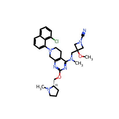 COC1(CN(C)c2nc(OC[C@@H]3CCCN3C)nc3c2CCN(c2cccc4cccc(Cl)c24)C3)CN(C#N)C1